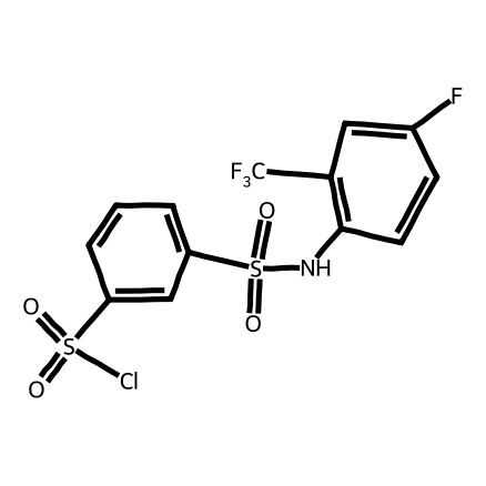 O=S(=O)(Cl)c1cccc(S(=O)(=O)Nc2ccc(F)cc2C(F)(F)F)c1